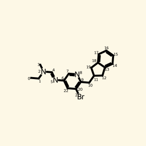 CCN(C)C=Nc1cnc(CC2Cc3ccccc3C2)c(Br)c1